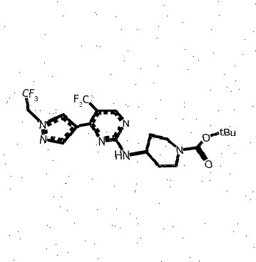 CC(C)(C)OC(=O)N1CCC(Nc2ncc(C(F)(F)F)c(-c3cnn(CC(F)(F)F)c3)n2)CC1